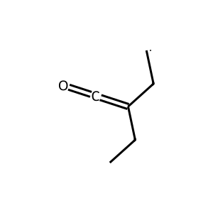 [CH2]CC(=C=O)CC